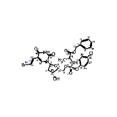 C[C@H](NP(=O)(OC[C@H]1O[C@@H](n2cc(/C=C/Br)c(=O)[nH]c2=O)C[C@H]1O)Oc1ccc(Cl)cc1)C(=O)OCc1ccccc1